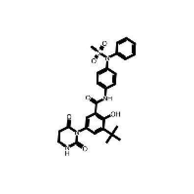 CC(C)(C)c1cc(N2C(=O)CCNC2=O)cc(C(=O)Nc2ccc(N(c3ccccc3)S(C)(=O)=O)cc2)c1O